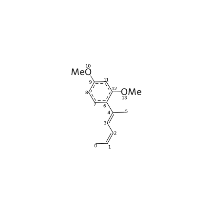 C/C=C\C=C(/C)c1ccc(OC)cc1OC